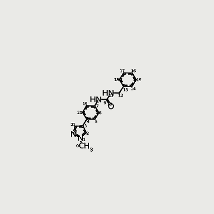 Cn1cc(-c2ccc(NC(=O)NCc3ccccc3)cc2)cn1